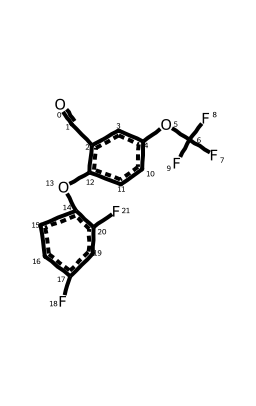 O=Cc1cc(OC(F)(F)F)ccc1Oc1ccc(F)cc1F